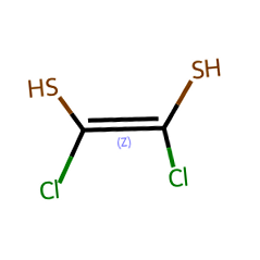 S/C(Cl)=C(\S)Cl